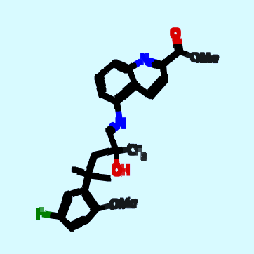 COC(=O)c1ccc2c(/N=C/C(O)(CC(C)(C)c3cc(F)ccc3OC)C(F)(F)F)cccc2n1